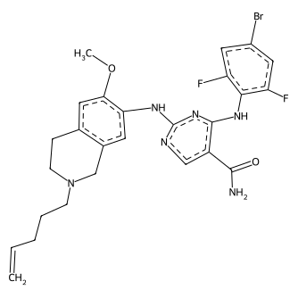 C=CCCCN1CCc2cc(OC)c(Nc3ncc(C(N)=O)c(Nc4c(F)cc(Br)cc4F)n3)cc2C1